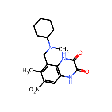 Cc1c([N+](=O)[O-])cc2[nH]c(=O)c(=O)[nH]c2c1CN(C)C1CCCCC1